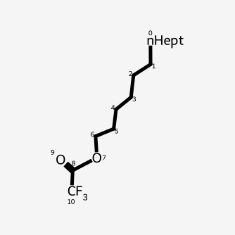 CCCCCCCCCCCCCOC(=O)C(F)(F)F